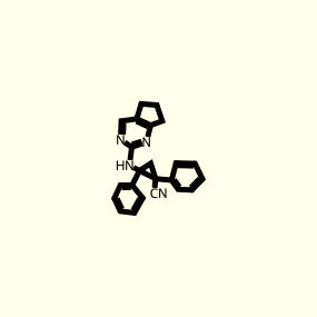 N#CC1(c2ccccc2)CC1(Nc1ncc2c(n1)CCC2)c1ccccc1